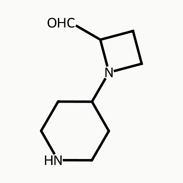 O=CC1CCN1C1CCNCC1